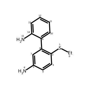 CCSc1ccc(N)cc1-c1ccccc1N